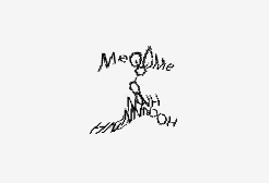 COc1ccc(-c2ccc3c(c2)[nH]c2c(N4CCC(O)CC4)nc(N4CCNCC4)nc23)cc1OC